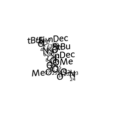 CCCCCCCCCCCCC(CN(CCCC(=O)Oc1c(OC)cc(C(=O)OCCN(C)C)cc1OC)CC(CCCCCCCCCCCC)O[Si](C)(C)C(C)(C)C)O[Si](C)(C)C(C)(C)C